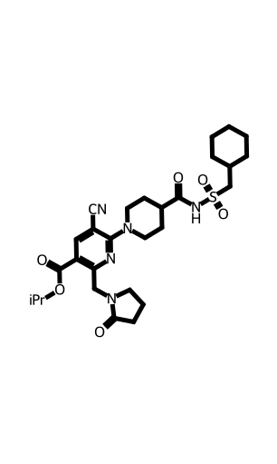 CC(C)OC(=O)c1cc(C#N)c(N2CCC(C(=O)NS(=O)(=O)CC3CCCCC3)CC2)nc1CN1CCCC1=O